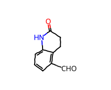 O=Cc1cccc2c1CCC(=O)N2